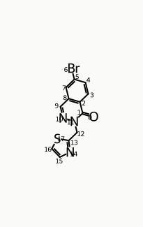 O=c1c2ccc(Br)cc2cnn1Cc1nccs1